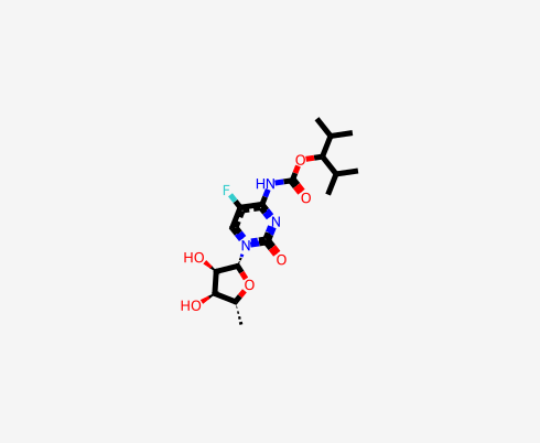 CC(C)C(OC(=O)Nc1nc(=O)n([C@@H]2O[C@H](C)[C@@H](O)[C@H]2O)cc1F)C(C)C